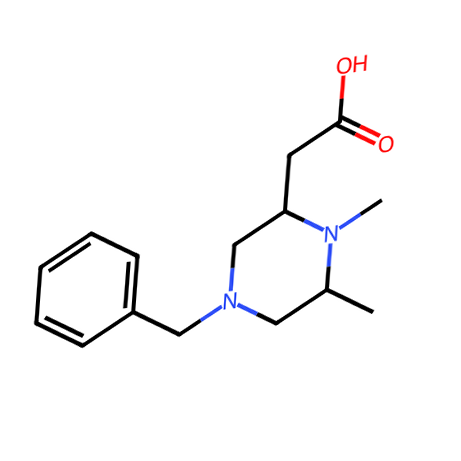 CC1CN(Cc2ccccc2)CC(CC(=O)O)N1C